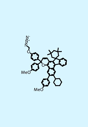 COc1ccc(-c2cc3c4c(c5c(c3cc2C2CCCCC2)-c2ccccc2C52CC(C)(C)CC(C)(C)C2)C=CC(c2ccc(OC)cc2)(c2ccc(OCN=[N+]=[N-])cc2)O4)cc1